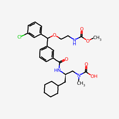 COC(=O)NCCOC(c1cccc(Cl)c1)c1cccc(C(=O)N[C@H](CC2CCCCC2)CN(C)C(=O)O)c1